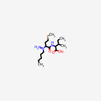 CCCCCN(N)C(CCSC)C(=O)NC(C(=O)O)C(C)CC